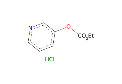 CCOC(=O)Oc1cccnc1.Cl